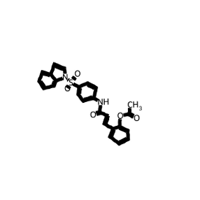 CC(=O)Oc1ccccc1C=CC(=O)Nc1ccc(S(=O)(=O)n2ccc3ccccc32)cc1